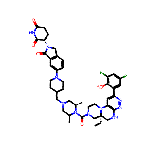 CC[C@@]12CNc3nnc(-c4cc(F)cc(F)c4O)cc3N1CCN(C(=O)N1[C@H](C)CN(CC3CCN(c4ccc5c(c4)C(=O)N([C@H]4CCC(=O)NC4=O)C5)CC3)C[C@@H]1C)C2